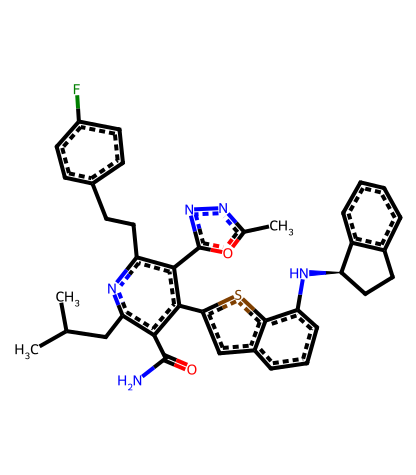 Cc1nnc(-c2c(CCc3ccc(F)cc3)nc(CC(C)C)c(C(N)=O)c2-c2cc3cccc(N[C@@H]4CCc5ccccc54)c3s2)o1